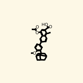 COc1ccc(-c2ccc3c(C)c(C(=O)O)cc(OC(C)=O)c3c2)cc1C12CC3CC(CC(C3)C1)C2